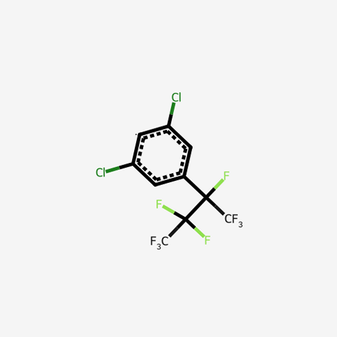 FC(F)(F)C(F)(F)C(F)(c1cc(Cl)[c]c(Cl)c1)C(F)(F)F